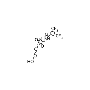 CN1C(=O)N(CCOCCOCCO)C(=O)C1=Cn1cnc(-c2cc(C(F)(F)F)cc(C(F)(F)F)c2)n1